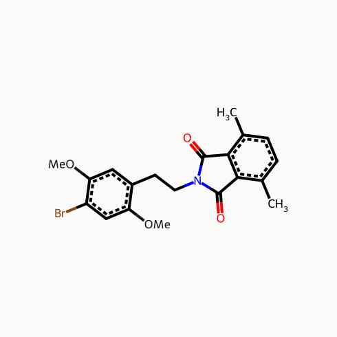 COc1cc(CCN2C(=O)c3c(C)ccc(C)c3C2=O)c(OC)cc1Br